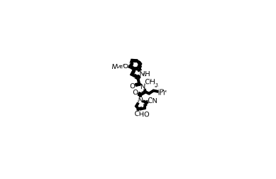 COc1cccc2[nH]c(C(=O)N(C)C(CCC(C)C)C(=O)N3CC(C=O)CC3C#N)cc12